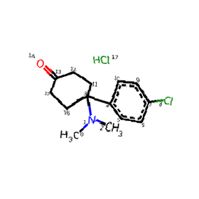 CN(C)C1(c2ccc(Cl)cc2)CCC(=O)CC1.Cl